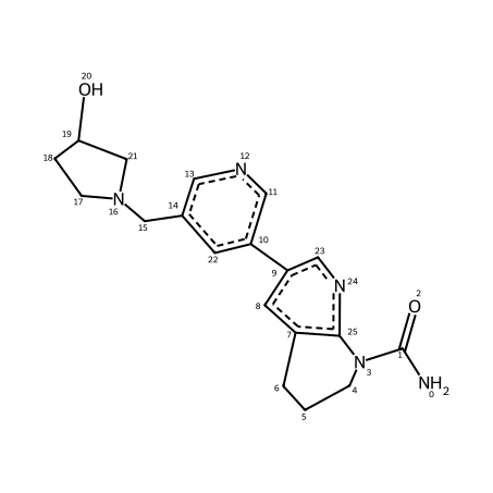 NC(=O)N1CCCc2cc(-c3cncc(CN4CCC(O)C4)c3)cnc21